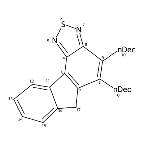 CCCCCCCCCCc1c2c(c3nsnc3c1CCCCCCCCCC)-c1ccccc1C2